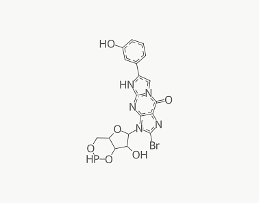 O=c1c2nc(Br)n(C3OC4COPOC4C3O)c2nc2[nH]c(-c3cccc(O)c3)cn12